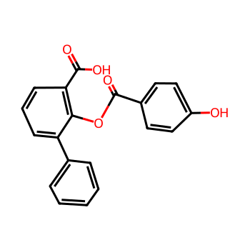 O=C(Oc1c(C(=O)O)cccc1-c1ccccc1)c1ccc(O)cc1